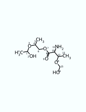 CC(O)OC(C)COC(=O)C(N)C(C)OCO